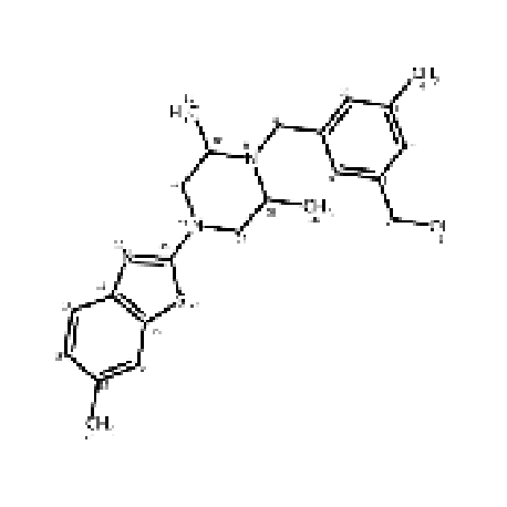 Cc1cc(CO)cc(CN2C(C)CN(c3nc4ccc(C)cc4s3)CC2C)c1